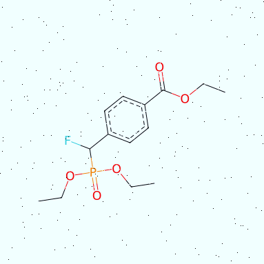 CCOC(=O)c1ccc(C(F)P(=O)(OCC)OCC)cc1